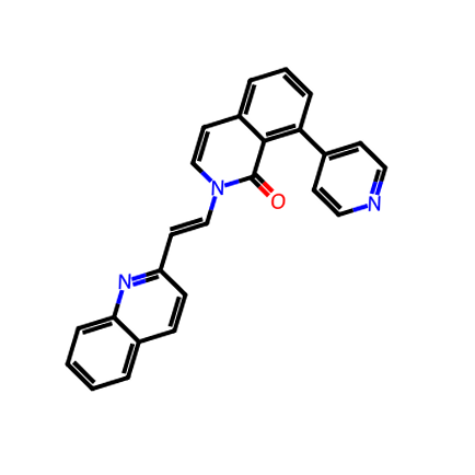 O=c1c2c(-c3ccncc3)cccc2ccn1/C=C/c1ccc2ccccc2n1